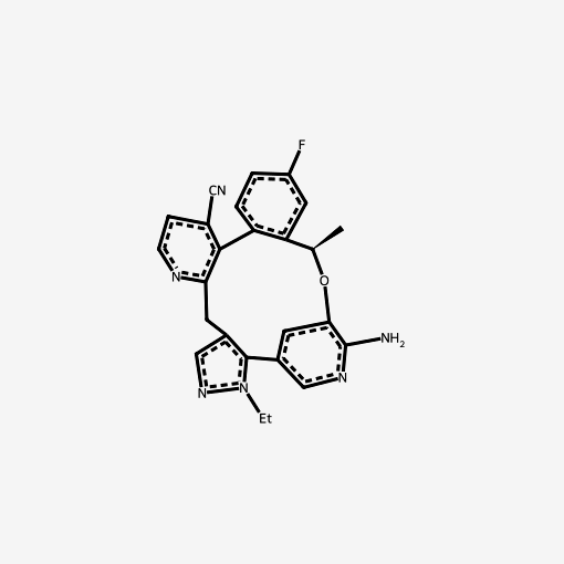 CCn1ncc2c1-c1cnc(N)c(c1)O[C@H](C)c1cc(F)ccc1-c1c(C#N)ccnc1C2